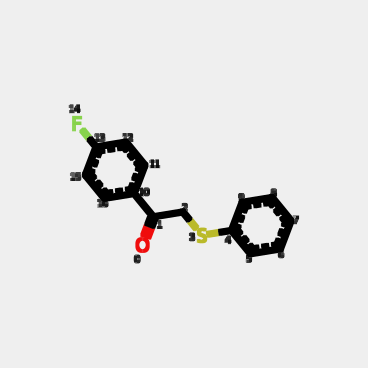 O=C(CSc1ccccc1)c1ccc(F)cc1